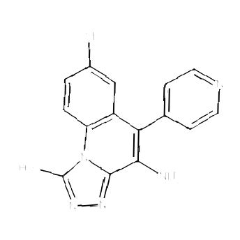 Cc1nnc2c(N)c(-c3ccncc3)c3cc(Cl)ccc3n12